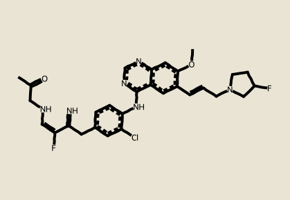 COc1cc2ncnc(Nc3ccc(CC(=N)/C(F)=C\NCC(C)=O)cc3Cl)c2cc1/C=C/CN1CCC(F)C1